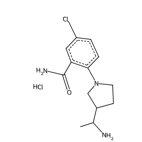 CC(N)C1CCN(c2ccc(Cl)cc2C(N)=O)C1.Cl